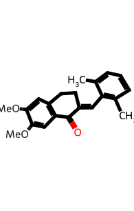 COc1cc2c(cc1OC)C(=O)C(=Cc1c(C)cccc1C)CC2